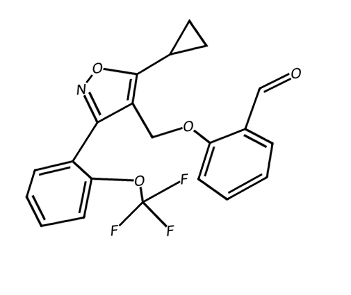 O=Cc1ccccc1OCc1c(-c2ccccc2OC(F)(F)F)noc1C1CC1